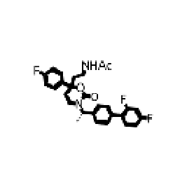 CC(=O)NCCC1(c2ccc(F)cc2)CCN([C@@H](C)c2ccc(-c3ccc(F)cc3F)cc2)C(=O)O1